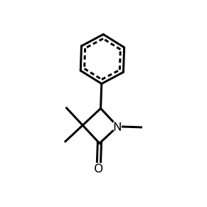 CN1C(=O)C(C)(C)C1c1ccccc1